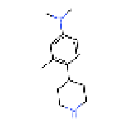 Cc1cc(N(C)C)ccc1C1CCNCC1